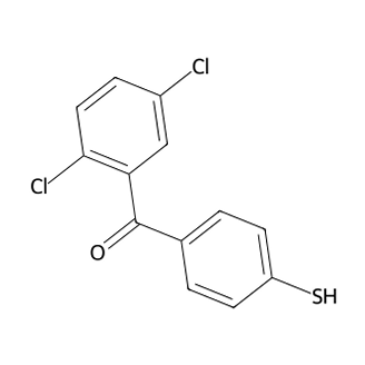 O=C(c1ccc(S)cc1)c1cc(Cl)ccc1Cl